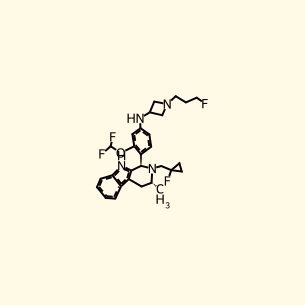 C[C@@H]1Cc2c([nH]c3ccccc23)[C@@H](c2ccc(NC3CN(CCCF)C3)cc2OC(F)F)N1CC1(F)CC1